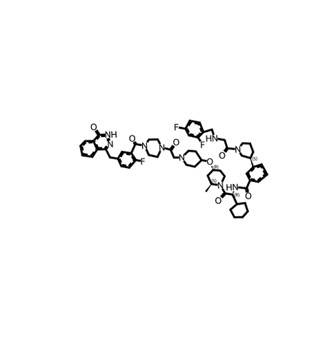 C[C@H]1C[C@H](OC2CCN(CC(=O)N3CCN(C(=O)c4cc(Cc5n[nH]c(=O)c6ccccc56)ccc4F)CC3)CC2)CCN1C(=O)[C@H](NC(=O)c1cccc([C@@H]2CCCN(C(=O)CNCc3ccc(F)cc3F)C2)c1)C1CCCCC1